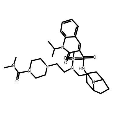 CC(C)n1c(=O)c(C(=O)NC2CC3CCC(C2)N3CCN(CCN2CCN(C(=O)N(C)C)CC2)S(C)(=O)=O)cc2ccccc21